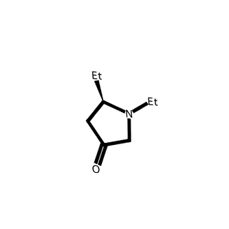 CC[C@@H]1CC(=O)CN1CC